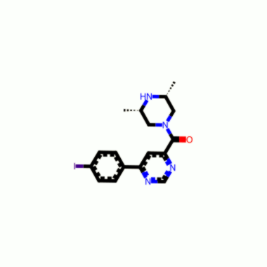 C[C@@H]1CN(C(=O)c2cc(-c3ccc(I)cc3)ncn2)C[C@H](C)N1